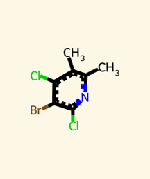 Cc1nc(Cl)c(Br)c(Cl)c1C